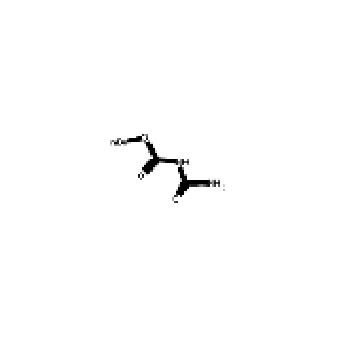 CCCCOC(=O)NC(N)=O